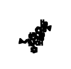 O=c1c(C2=NS(=O)(=O)c3cc(NS(=O)(=O)C4CC4)ccc3N2)c(O)c(-c2cccs2)nn1CCC1CC1